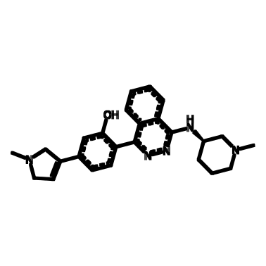 CN1CC=C(c2ccc(-c3nnc(N[C@@H]4CCCN(C)C4)c4ccccc34)c(O)c2)C1